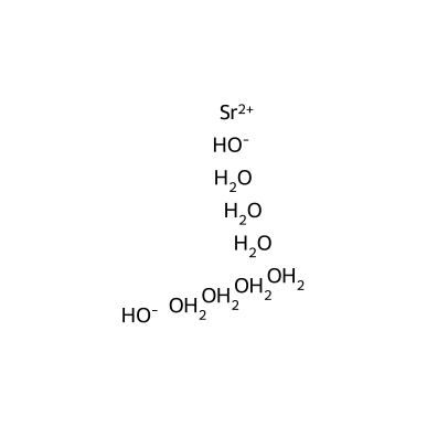 O.O.O.O.O.O.O.[OH-].[OH-].[Sr+2]